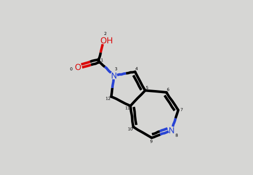 O=C(O)N1C=C2C=CN=CC=C2C1